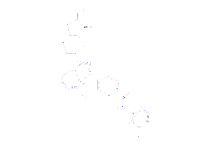 Nc1nccn2c(C3CCC4CC(O)C(=O)N4C3)nc(-c3ccc(C(=O)Nc4cc(C(F)F)ccn4)cc3)c12